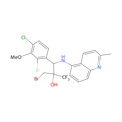 COc1c(Cl)ccc(C(Nc2cccc3nc(C)ccc23)C(O)(CBr)C(F)(F)F)c1F